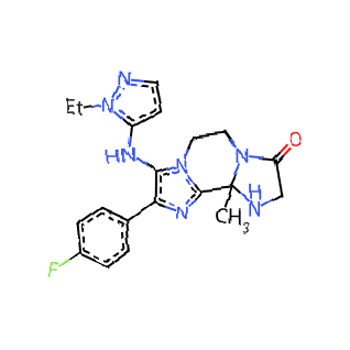 CCn1nccc1Nc1c(-c2ccc(F)cc2)nc2n1CCN1C(=O)CNC21C